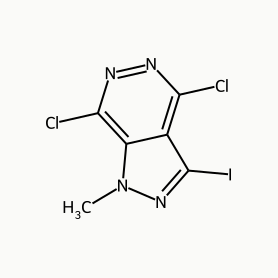 Cn1nc(I)c2c(Cl)nnc(Cl)c21